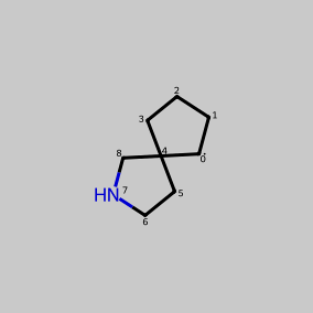 [CH]1CCCC12CCNC2